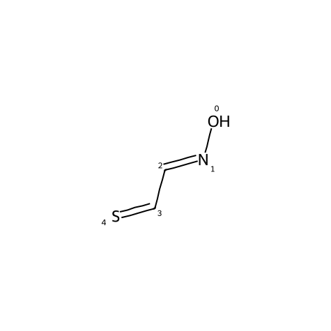 ON=CC=S